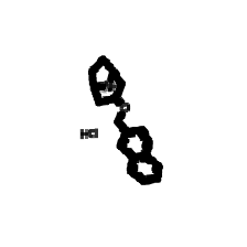 Cl.c1ccc2cc(COC3CC4CCC(C3)N4)ccc2c1